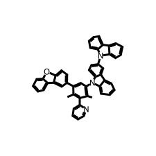 Cc1c(-c2ccc3oc4ccccc4c3c2)cc(-n2c3ccccc3c3cc(-n4c5ccccc5c5ccccc54)ccc32)c(C)c1-c1ccccn1